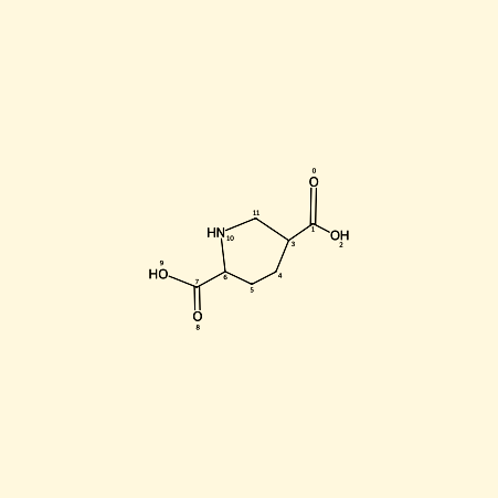 O=C(O)C1CCC(C(=O)O)NC1